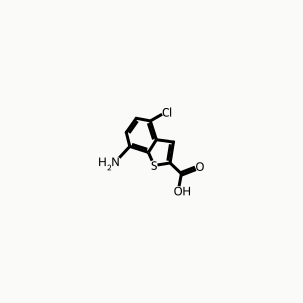 Nc1ccc(Cl)c2cc(C(=O)O)sc12